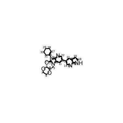 O=c1n(C[C@@H]2COCCO2)c2cc(-c3cnc4[nH]ccc4c3)cnc2n1C1=CCCCC1